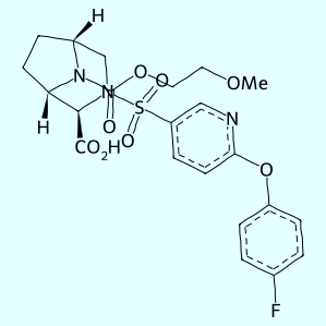 COCCOC(=O)N1[C@@H]2CC[C@H]1[C@H](C(=O)O)N(S(=O)(=O)c1ccc(Oc3ccc(F)cc3)nc1)C2